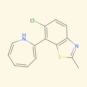 Cc1nc2ccc(Cl)c(C3=CC=CC=CN3)c2s1